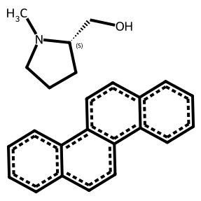 CN1CCC[C@H]1CO.c1ccc2c(c1)ccc1c3ccccc3ccc21